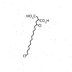 O=C(O)CC(CC(Cl)CCCCCCCCCCCCCl)C(=O)O